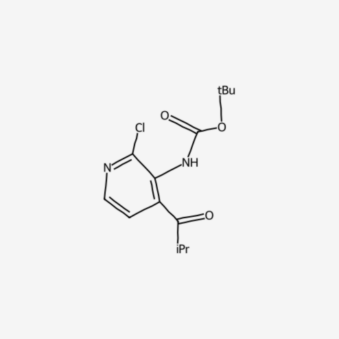 CC(C)C(=O)c1ccnc(Cl)c1NC(=O)OC(C)(C)C